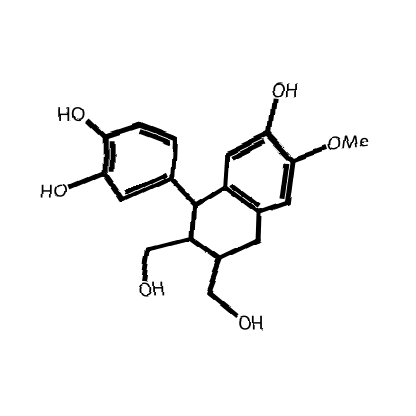 COc1cc2c(cc1O)C(c1ccc(O)c(O)c1)C(CO)C(CO)C2